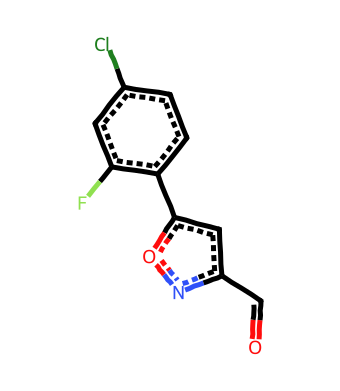 O=Cc1cc(-c2ccc(Cl)cc2F)on1